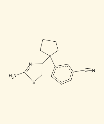 N#Cc1cccc(C2(C3CSC(N)=N3)CCCC2)c1